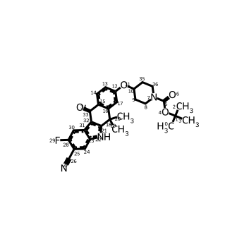 CC(C)(C)OC(=O)N1CCC(Oc2ccc3c(c2)C(C)(C)c2[nH]c4cc(C#N)c(F)cc4c2C3=O)CC1